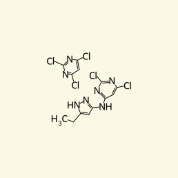 CCc1cc(Nc2cc(Cl)nc(Cl)n2)n[nH]1.Clc1cc(Cl)nc(Cl)n1